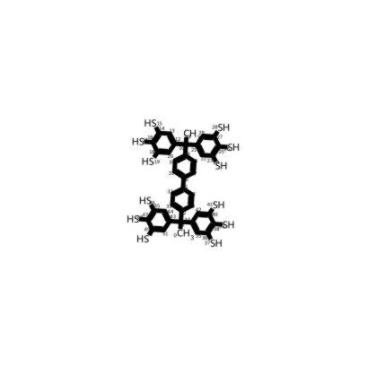 CC(c1ccc(-c2ccc(C(C)(c3cc(S)c(S)c(S)c3)c3cc(S)c(S)c(S)c3)cc2)cc1)(c1cc(S)c(S)c(S)c1)c1cc(S)c(S)c(S)c1